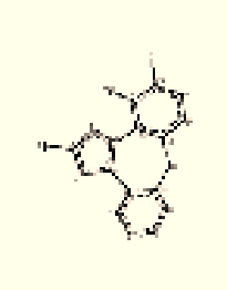 Fc1nc2c(s1)-c1ccccc1Cc1ccc(F)c(F)c1-2